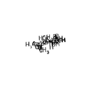 CCOC(=O)c1ccc(-c2ccc(OCCNC[C@H](O)c3ccc(O)c(NS(C)(=O)=O)c3)cc2)cc1OCC.Cl